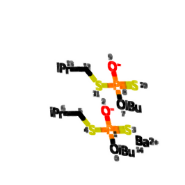 CC(C)COP([O-])(=S)SCC(C)C.CC(C)COP([O-])(=S)SCC(C)C.[Ba+2]